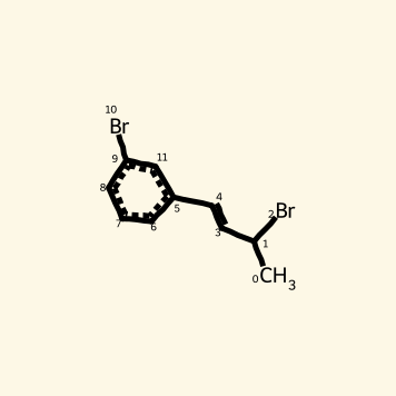 CC(Br)C=Cc1cccc(Br)c1